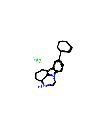 Cl.c1cc2c(cc1C1CCCCC1)c1c3n2CCNC3CCC1